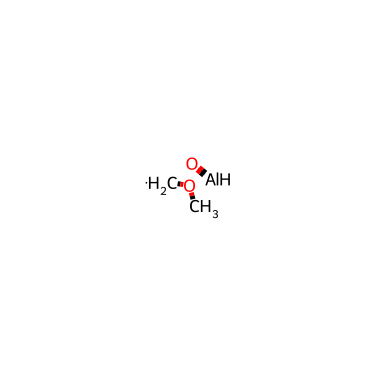 [CH2]OC.[O]=[AlH]